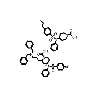 CCCc1ccc(S(=O)(=O)N(c2ccccc2)C2CCN(C(=O)O)CC2)cc1.O=C(O)N1CC[C@H](N(c2ccccc2)S(=O)(=O)c2ccc(F)cc2)CC1CCCN(Cc1ccccc1)Cc1ccccc1